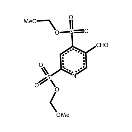 COCOS(=O)(=O)c1cc(S(=O)(=O)OCOC)c(C=O)cn1